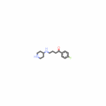 O=C(CCCNC1CCNCC1)c1ccc(F)cc1